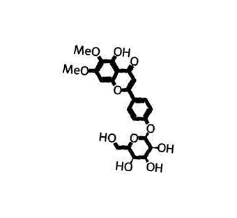 COc1cc2oc(-c3ccc(O[C@@H]4OC(CO)[C@@H](O)[C@H](O)[C@H]4O)cc3)cc(=O)c2c(O)c1OC